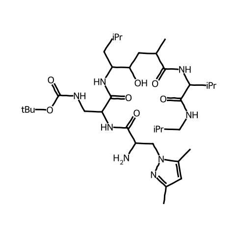 Cc1cc(C)n(CC(N)C(=O)NC(CNC(=O)OC(C)(C)C)C(=O)NC(CC(C)C)C(O)CC(C)C(=O)NC(C(=O)NCC(C)C)C(C)C)n1